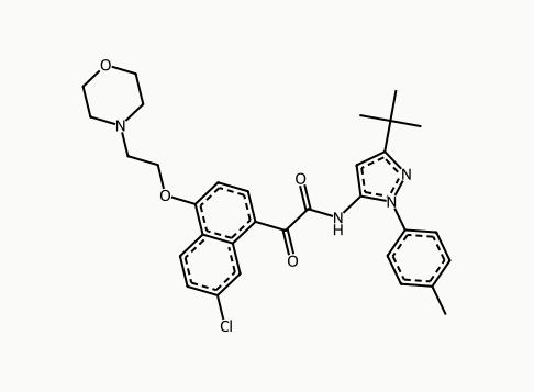 Cc1ccc(-n2nc(C(C)(C)C)cc2NC(=O)C(=O)c2ccc(OCCN3CCOCC3)c3ccc(Cl)cc23)cc1